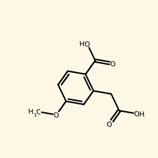 COc1ccc(C(=O)O)c(CC(=O)O)c1